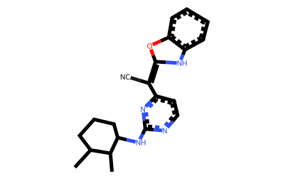 CC1CCCC(Nc2nccc(C(C#N)=C3Nc4ccccc4O3)n2)C1C